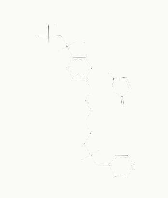 CC(C)(C)CC(C)(C)c1ccc(OCCOCC[N+](C)(C)Cc2ccccc2)cc1.O=C1C=CC(=O)O1.[Cl-]